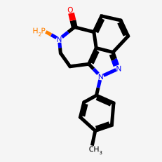 Cc1ccc(-n2nc3cccc4c3c2CCN(P)C4=O)cc1